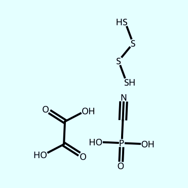 N#CP(=O)(O)O.O=C(O)C(=O)O.SSSS